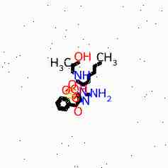 CCCCCCC(C(=O)NCC(C)CO)n1cc(C(=O)c2ccccc2S(=O)(=O)O)nc1N